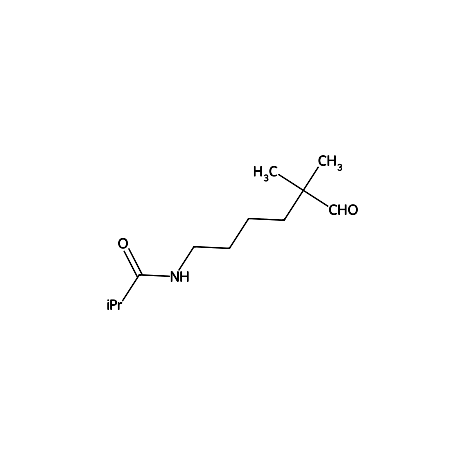 CC(C)C(=O)NCCCCC(C)(C)C=O